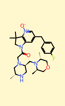 C[C@@H]1CN(CC(=O)N2CC(C)(C)c3c2cc(Cc2ccc(F)cc2)c[n+]3[O-])[C@@H](CN2[C@H](C)COC[C@H]2C)CN1